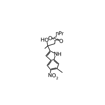 CCCS(=O)(=O)CC(C)(O)c1cc2cc([N+](=O)[O-])c(C)cc2[nH]1